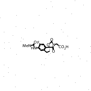 CNC(=O)Nc1cc2c(cc1F)[C@@]1(CC2)OC(=O)N(CC(=O)O)C1=O